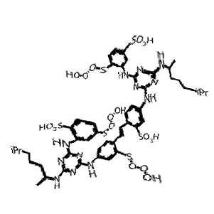 CC(C)CCCC(C)Nc1nc(Nc2ccc(/C=C/c3ccc(Nc4nc(Nc5cc(SOOO)ccc5S(=O)(=O)O)nc(NC(C)CCCC(C)C)n4)cc3SOOO)c(S(=O)(=O)O)c2)nc(Nc2cc(S(=O)(=O)O)ccc2SOOO)n1